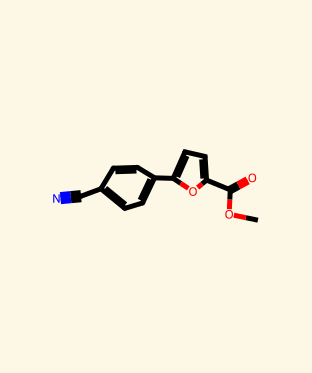 COC(=O)c1ccc(-c2ccc(C#N)cc2)o1